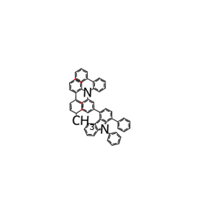 CC1C=CC(c2ccccc2N(c2cccc(-c3ccc(-c4ccccc4)c4c3c3ccccc3n4-c3ccccc3)c2)c2ccccc2-c2ccccc2)=CC1